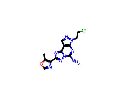 Cc1ocnc1-c1nc2c3cnn(CCCl)c3nc(N)n2n1